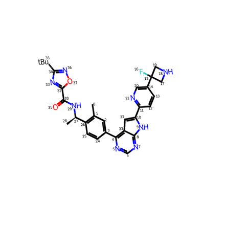 Cc1cc(-c2ncnc3[nH]c(-c4ccc(C5(F)CNC5)cn4)cc23)ccc1[C@@H](C)NC(=O)c1nc(C(C)(C)C)no1